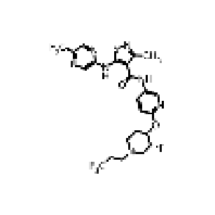 Cc1nsc(Nc2cnc(C(F)(F)F)cn2)c1C(=O)Nc1ccc(O[C@@H]2CCN(CCC(F)(F)F)C[C@H]2F)nc1